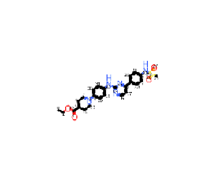 CCOC(=O)C1CCN(c2ccc(Nc3nccc(-c4ccc(NS(C)(=O)=O)cc4)n3)cc2)CC1